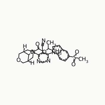 CC(C)OC(=O)N1C[C@H]2COC[C@@H](C1)C2Oc1ncnc(-n2ccc3cc(S(C)(=O)=O)ccc32)c1C#N